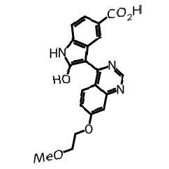 COCCOc1ccc2c(-c3c(O)[nH]c4ccc(C(=O)O)cc34)ncnc2c1